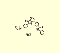 Cl.O=C(Nc1ccccc1)c1ccc(-c2ccnc3[nH]c(-c4ccc(CN5CCOCC5)cc4)nc23)cc1